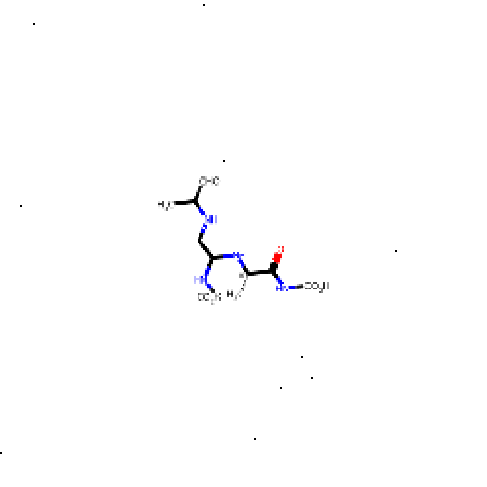 CC(C=O)NCC(NC(=O)O)N[C@@H](C)C(=O)NC(=O)O